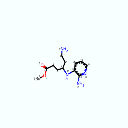 CC(C)(C)OC(=O)CCC(CCN)Nc1cccnc1N